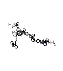 CC(C)[C@H](NC(=O)CCCCCN1C(=O)C=CC1=O)C(=O)N[C@@H](CCCNC(N)=O)C(=O)Nc1ccc(COC(=O)N2CCC[C@@H](c3ccc(N/C=C4/C=CC=C(C(N)=O)C4=N)cc3)C2)cc1